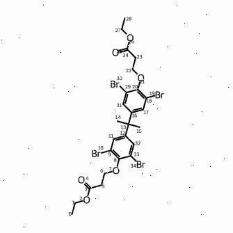 CCOC(=O)CCOc1c(Br)cc(C(C)(C)c2cc(Br)c(OCCC(=O)OCC)c(Br)c2)cc1Br